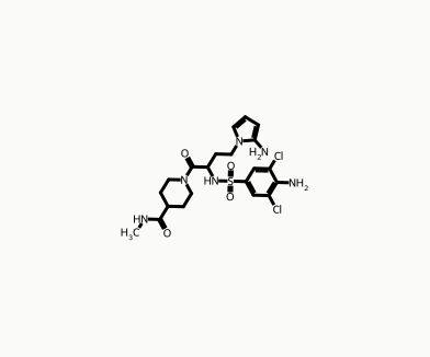 CNC(=O)C1CCN(C(=O)C(CCn2cccc2N)NS(=O)(=O)c2cc(Cl)c(N)c(Cl)c2)CC1